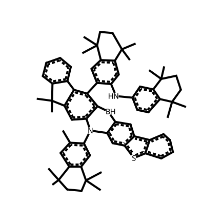 Cc1cc2c(cc1N1c3cc4sc5ccccc5c4cc3Bc3c1cc1c(c3-c3cc4c(cc3Nc3ccc5c(c3)C(C)(C)CCC5(C)C)C(C)(C)CCC4(C)C)-c3ccccc3C1(C)C)C(C)(C)CCC2(C)C